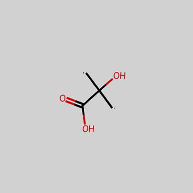 [CH2]C([CH2])(O)C(=O)O